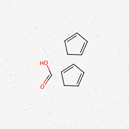 C1=CCC=C1.C1=CCC=C1.O=CO